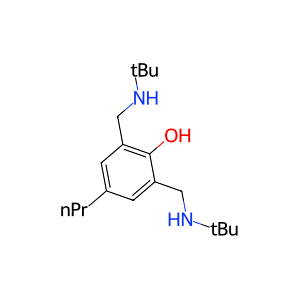 CCCc1cc(CNC(C)(C)C)c(O)c(CNC(C)(C)C)c1